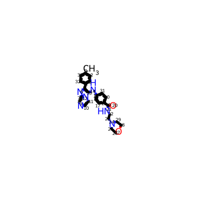 Cc1ccc(-c2nc3cnccn3c2Nc2ccc(C(=O)NCCN3CCOCC3)cc2)cc1